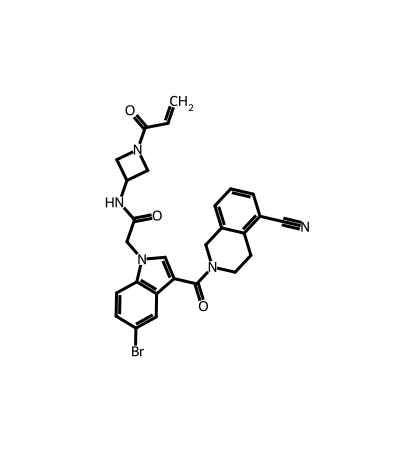 C=CC(=O)N1CC(NC(=O)Cn2cc(C(=O)N3CCc4c(C#N)cccc4C3)c3cc(Br)ccc32)C1